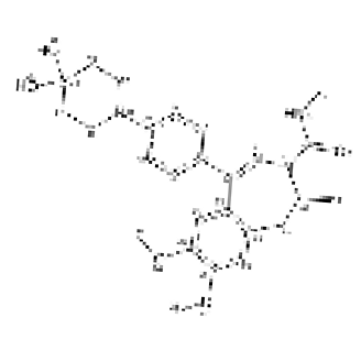 CNC(=O)N1N=C(c2ccc(N3CCS(O)(O)CC3)cc2)c2cc(OC)c(OC)cc2C[C@@H]1C